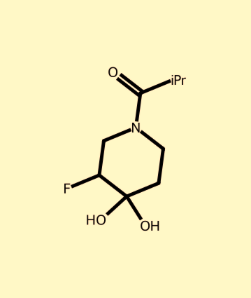 CC(C)C(=O)N1CCC(O)(O)C(F)C1